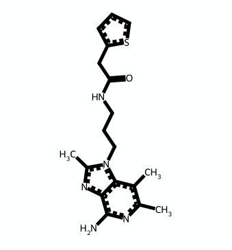 Cc1nc(N)c2nc(C)n(CCCNC(=O)Cc3cccs3)c2c1C